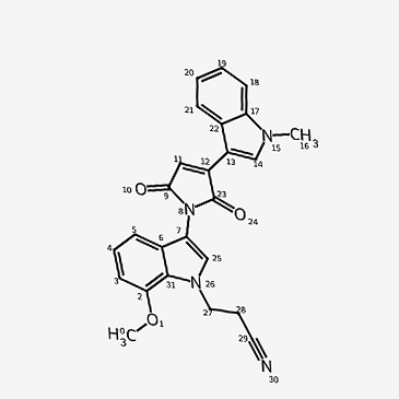 COc1cccc2c(N3C(=O)C=C(c4cn(C)c5ccccc45)C3=O)cn(CCC#N)c12